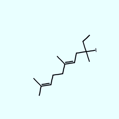 CCC(C)(I)C/C=C(\C)CCC=C(C)C